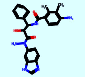 Cc1c(N)ccc(C(=O)NC(c2ccccc2)C(O)C(=O)N(N)c2ccc3nc[nH]c3c2)c1C